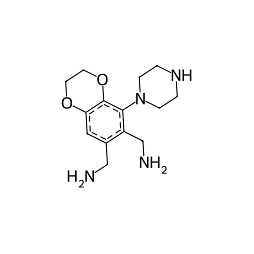 NCc1cc2c(c(N3CCNCC3)c1CN)OCCO2